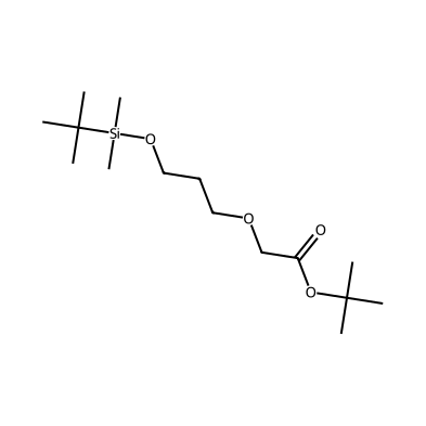 CC(C)(C)OC(=O)COCCCO[Si](C)(C)C(C)(C)C